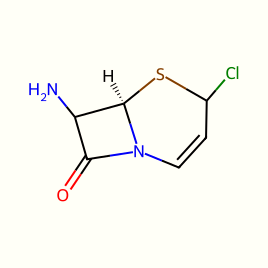 NC1C(=O)N2C=CC(Cl)S[C@H]12